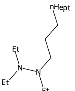 CCCCCCCCCCN(CC)N(CC)CC